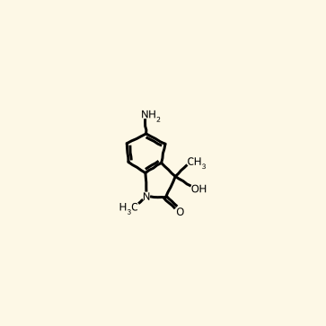 CN1C(=O)C(C)(O)c2cc(N)ccc21